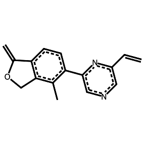 C=Cc1cncc(-c2ccc3c(c2C)COC3=C)n1